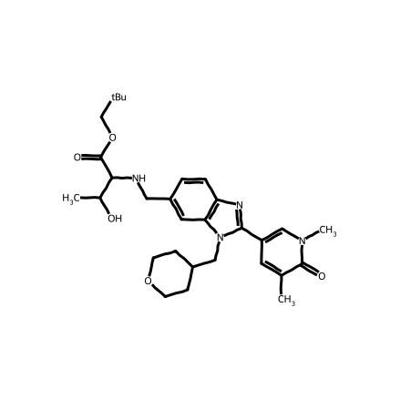 Cc1cc(-c2nc3ccc(CNC(C(=O)OCC(C)(C)C)C(C)O)cc3n2CC2CCOCC2)cn(C)c1=O